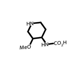 COC1CNCCC1NC(=O)O